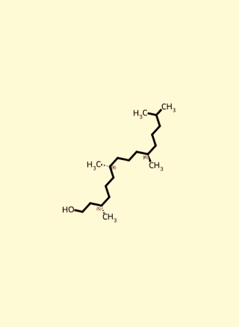 CC(C)CCC[C@@H](C)CCC[C@@H](C)CCC[C@H](C)CCO